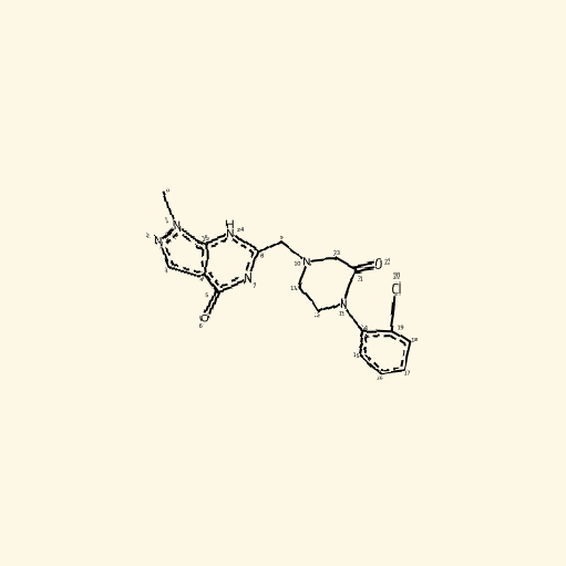 Cn1ncc2c(=O)nc(CN3CCN(c4ccccc4Cl)C(=O)C3)[nH]c21